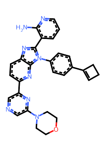 Nc1ncccc1-c1nc2ccc(-c3cncc(N4CCOCC4)n3)nc2n1-c1ccc(C2=CCC2)cc1